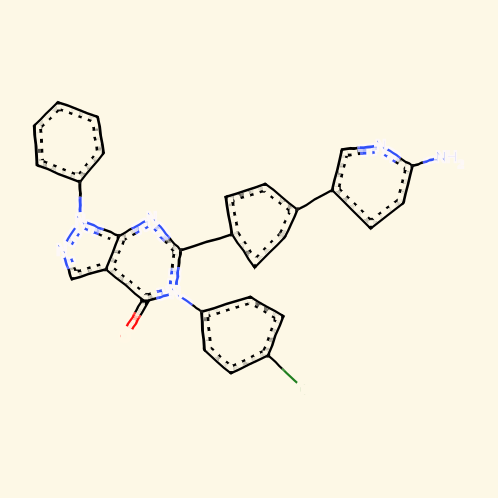 Nc1ccc(-c2ccc(-c3nc4c(cnn4-c4c[c]ccc4)c(=O)n3-c3ccc(Cl)cc3)cc2)cn1